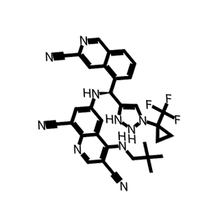 CC(C)(C)CNc1c(C#N)cnc2c(C#N)cc(N[C@H](C3=CN(C4(C(F)(F)F)CC4)NN3)c3cccc4cnc(C#N)cc34)cc12